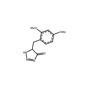 COc1ccc(CC2NN=NC2=O)c(OC)c1